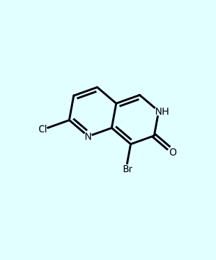 O=c1[nH]cc2ccc(Cl)nc2c1Br